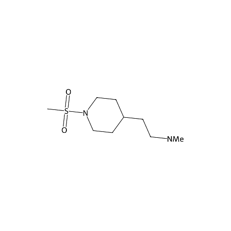 CNCCC1CCN(S(C)(=O)=O)CC1